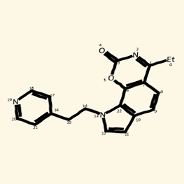 CCc1nc(=O)oc2c1ccc1ccn(CCc3ccncc3)c12